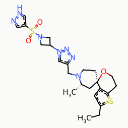 CCc1cc2c(s1)CCO[C@@]21CCN(Cc2cn(C3CN(S(=O)(=O)c4cn[nH]c4)C3)nn2)[C@@H](C)C1